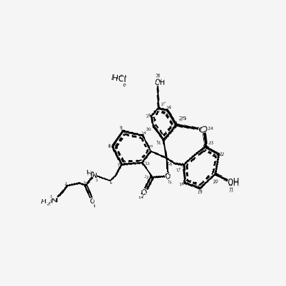 Cl.NCC(=O)NCc1cccc2c1C(=O)OC21c2ccc(O)cc2Oc2cc(O)ccc21